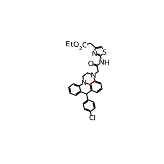 CCOC(=O)Cc1csc(NC(=O)CN2CCN(c3ccccc3C(c3ccccc3)c3ccc(Cl)cc3)CC2)n1